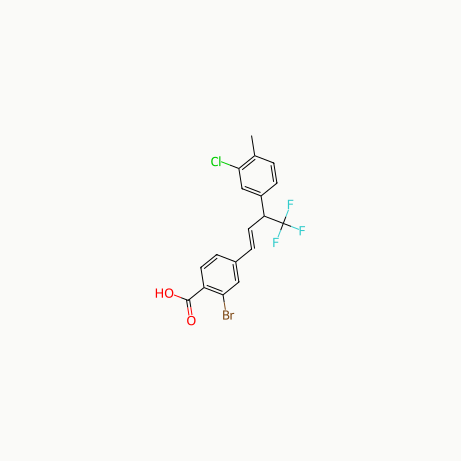 Cc1ccc(C(/C=C/c2ccc(C(=O)O)c(Br)c2)C(F)(F)F)cc1Cl